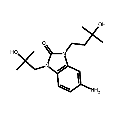 CC(C)(O)CCn1c(=O)n(CC(C)(C)O)c2ccc(N)cc21